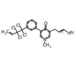 C=CC(Cl)(Cl)C(Cl)(Cl)c1cccc(-c2cn(C)cc(C/C=C/CCC)c2=O)c1